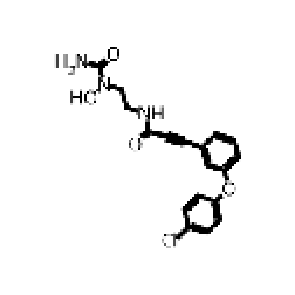 NC(=O)N(O)CCNC(=O)C#Cc1cccc(Oc2ccc(Cl)cc2)c1